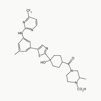 Cc1cc(Nc2nccc(C(F)(F)F)n2)cc(-c2cnc(C3(O)CCC(C(=O)N4CCN(C(=O)O)C(C)C4)CC3)s2)c1